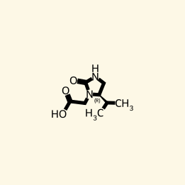 CC(C)[C@@H]1CNC(=O)N1CC(=O)O